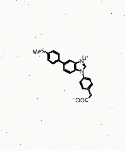 CSc1ccc(-c2ccc3c(c2)ncn3-c2ccc(CC(=O)[O-])cc2)cc1.[Li+]